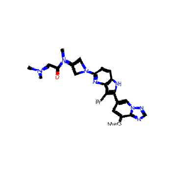 COc1cc(-c2[nH]c3ccc(N4CC(N(C)C(=O)CN(C)C)C4)nc3c2C(C)C)cn2ncnc12